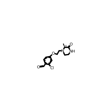 C[C@H]1C(=O)NCCN1CCOc1ccc(C=O)c(Cl)c1